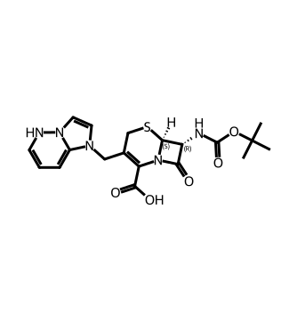 CC(C)(C)OC(=O)N[C@@H]1C(=O)N2C(C(=O)O)=C(CN3C=CN4NC=CC=C34)CS[C@@H]12